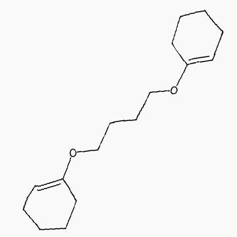 C1=C(OCCCCOC2=CCCCC2)CCCC1